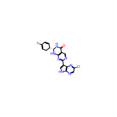 O=C1N[C@@H](C2C=CC(F)=CC2)Nc2nc(-c3c[nH]c4ncc(Cl)nc34)ncc21